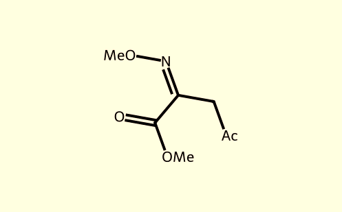 CON=C(CC(C)=O)C(=O)OC